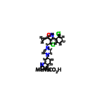 C/N=C1/C=C(N2CCN(CCc3c(-c4c(Cl)cccc4Cl)noc3C3CC3)CC2)C=C/C1=C(/NC)C(=O)O